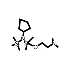 CN(C)CCO[Si](C)(C)N(C1CCCC1)[Si](C)(C)C